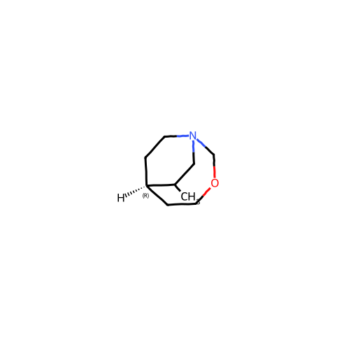 CC1CN2CC[C@@H]1CCOC2